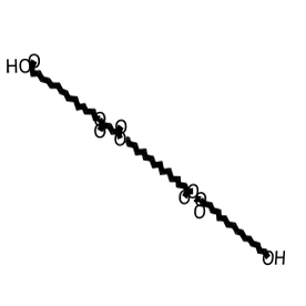 O=C(O)CCCCCCCCCCCCCCCOC(=O)CCC(=O)OCCCCCCCCCCCCCCCC(=O)OCOC(=O)CCCCCCCCCCCCCCCO